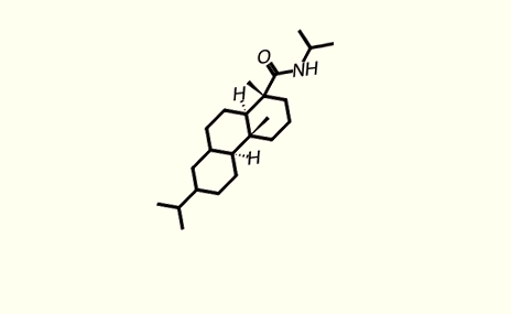 CC(C)NC(=O)[C@]1(C)CCC[C@@]2(C)[C@H]1CCC1CC(C(C)C)CC[C@@H]12